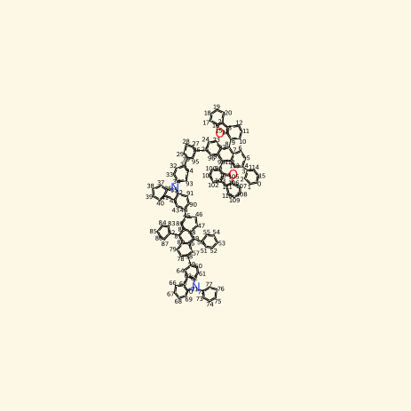 c1ccc(-c2ccc3c(-c4cccc5c4oc4ccccc45)c4ccc(-c5cccc(-c6ccc(-n7c8ccccc8c8cc(-c9ccc%10c(-c%11ccccc%11)c%11cc(-c%12ccc%13c(c%12)c%12ccccc%12n%13-c%12ccccc%12)ccc%11c(-c%11ccccc%11)c%10c9)ccc87)cc6)c5)cc4c(-c4cccc5c4oc4ccccc45)c3c2)cc1